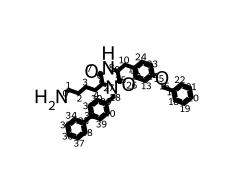 NCCCCC1C(=O)NC(Cc2ccc(OCc3ccccc3)cc2)C(=O)N1Cc1ccc(-c2ccccc2)cc1